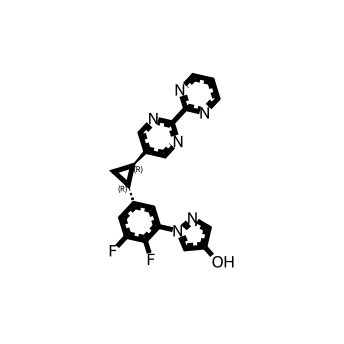 Oc1cnn(-c2cc([C@@H]3C[C@H]3c3cnc(-c4ncccn4)nc3)cc(F)c2F)c1